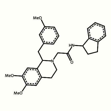 COc1cccc(CC2c3cc(OC)c(OC)cc3CCN2CC(=O)NC2CCc3ccccc32)c1